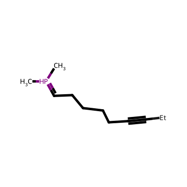 CCC#CCCCCC=[PH](C)C